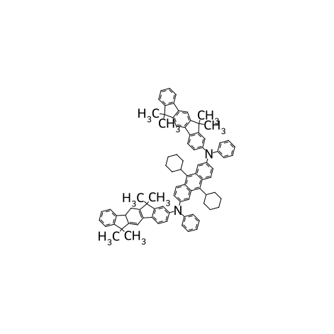 CC1(C)C2=C(C=C3C(C2)c2ccccc2C3(C)C)c2ccc(N(c3ccccc3)c3ccc4c(C5CCCCC5)c5cc(N(c6ccccc6)c6ccc7c(c6)C(C)(C)c6cc8c(cc6-7)C(C)(C)c6ccccc6-8)ccc5c(C5CCCCC5)c4c3)cc21